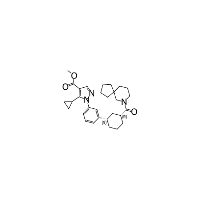 COC(=O)c1cnn(-c2cccc([C@H]3CCC[C@@H](C(=O)N4CCCC5(CCCC5)C4)C3)c2)c1C1CC1